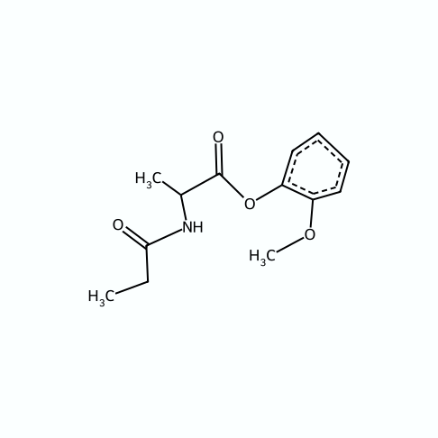 CCC(=O)NC(C)C(=O)Oc1ccccc1OC